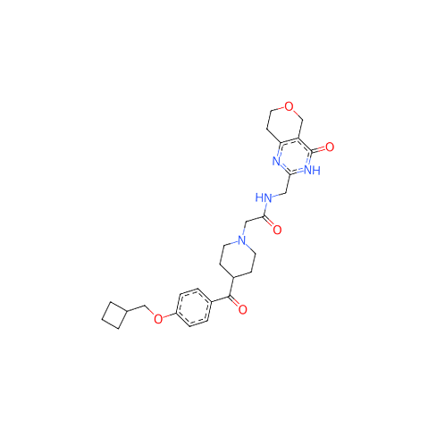 O=C(CN1CCC(C(=O)c2ccc(OCC3CCC3)cc2)CC1)NCc1nc2c(c(=O)[nH]1)COCC2